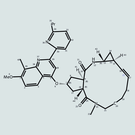 COc1ccc2c(O[C@@H]3C[C@H]4C(=O)N[C@@H]5C[C@H]5/C=C\CCCCN(C)C(=O)[C@@H]4C3)cc(-c3cccc(C(C)C)n3)nc2c1C